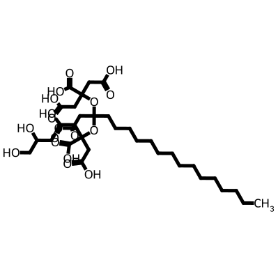 CCCCCCCCCCCCCCCC(CC(=O)OCC(O)CO)(OC(CC(=O)O)(CC(=O)O)C(=O)O)OC(CC(=O)O)(CC(=O)O)C(=O)O